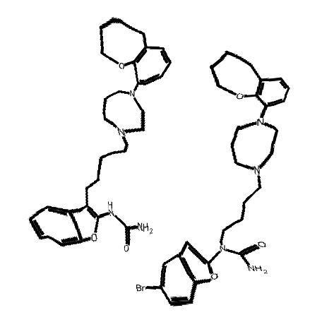 NC(=O)N(CCCCN1CCCN(c2cccc3c2OCCCC3)CC1)c1cc2cc(Br)ccc2o1.NC(=O)Nc1oc2ccccc2c1CCCCN1CCCN(c2cccc3c2OCCCC3)CC1